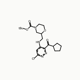 CC(C)(C)OC(=O)N1CCOC(CNc2cc(Cl)nnc2C(=O)C2CCCC2)C1